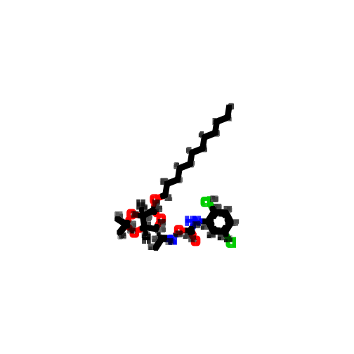 CCCCCCCCCCCCO[C@H]1O[C@H](/C(C)=N\OC(=O)Nc2cc(Cl)ccc2Cl)[C@@H]2OC(C)(C)O[C@H]12